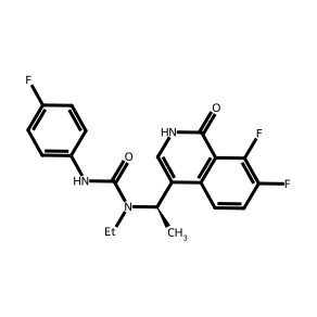 CCN(C(=O)Nc1ccc(F)cc1)[C@H](C)c1c[nH]c(=O)c2c(F)c(F)ccc12